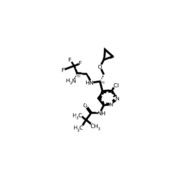 CC(C)(C)C(=O)Nc1cc([C@@H](COC2CC2)NC[C@H](N)C(F)(F)F)c(Cl)nn1